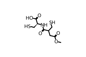 COC(=O)CC(CS)C(=O)N[C@@H](CS)C(=O)O